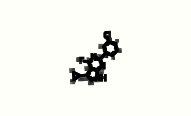 Fc1nc(-c2cccc(Cl)c2)nc2[nH]cc(C3CC3)c12